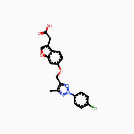 Cc1nn(-c2ccc(Cl)cc2)nc1COc1ccc2c(CC(=O)O)coc2c1